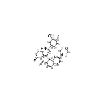 O=C(Nc1ccc(F)c(C(=O)c2ccc3ncc(N4CCOCC4)nc3c2)c1F)c1ccc(F)c(Cl)c1